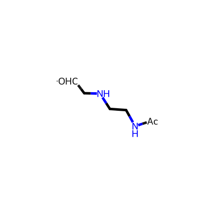 CC(=O)NCCNC[C]=O